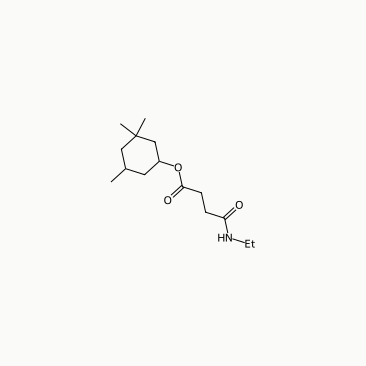 CCNC(=O)CCC(=O)OC1CC(C)CC(C)(C)C1